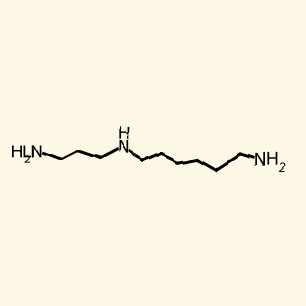 NCCCCCCNCCCN.[Li]